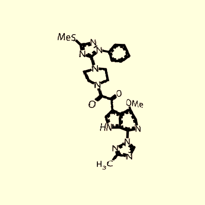 COc1cnc(-n2cnc(C)n2)c2[nH]cc(C(=O)C(=O)N3CCN(c4nc(SC)nn4-c4ccccc4)CC3)c12